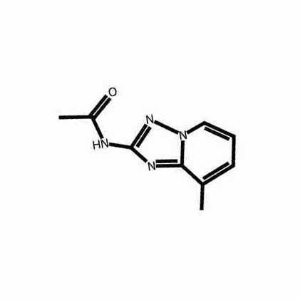 CC(=O)Nc1nc2c(C)cccn2n1